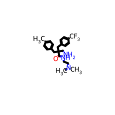 Cc1ccc(CC(CN)(Cc2ccc(C(F)(F)F)cc2)C(=O)NCCN(C)C)cc1